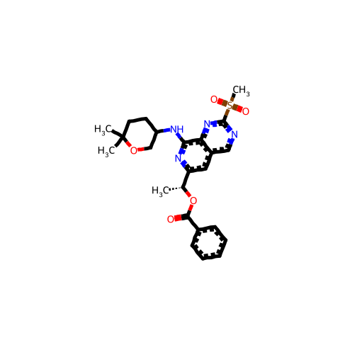 C[C@@H](OC(=O)c1ccccc1)c1cc2cnc(S(C)(=O)=O)nc2c(NC2CCC(C)(C)OC2)n1